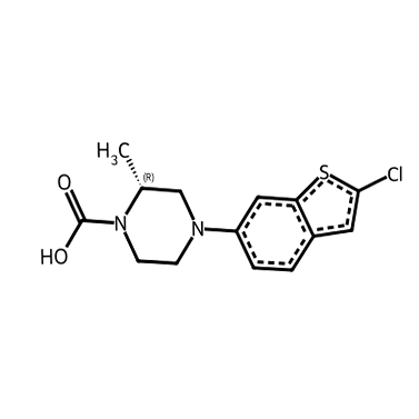 C[C@@H]1CN(c2ccc3cc(Cl)sc3c2)CCN1C(=O)O